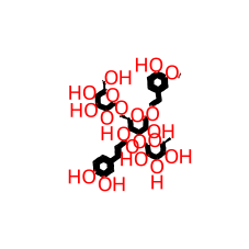 COc1cc(CCO[C@@H]2O[C@H](CO[C@@H]3O[C@H](CO)[C@@H](O)[C@H](O)[C@H]3O)[C@@H](OC(=O)/C=C/c3ccc(O)c(O)c3)[C@H](O[C@@H]3O[C@@H](C)[C@H](O)[C@@H](O)[C@H]3O)[C@H]2O)ccc1O